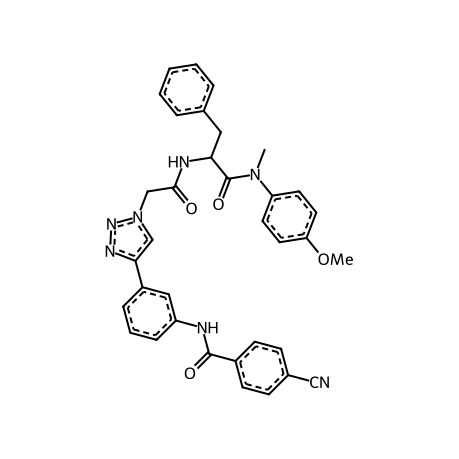 COc1ccc(N(C)C(=O)C(Cc2ccccc2)NC(=O)Cn2cc(-c3cccc(NC(=O)c4ccc(C#N)cc4)c3)nn2)cc1